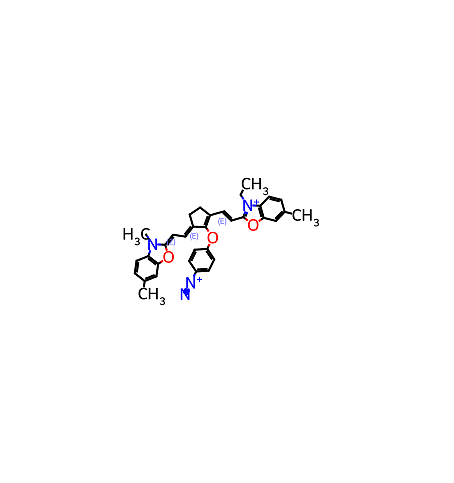 CC[n+]1c(/C=C/C2=C(Oc3ccc([N+]#N)cc3)C(=C/C=C3\Oc4cc(C)ccc4N3C)/CC2)oc2cc(C)ccc21